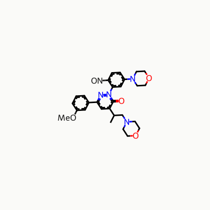 COc1cccc(-c2cc(C(C)CN3CCOCC3)c(=O)n(-c3cc(N4CCOCC4)ccc3N=O)n2)c1